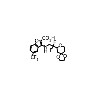 O=C(O)c1oc2ccc(C(F)(F)F)cc2c1NCC(F)(F)C1CC2(CCO1)OCCO2